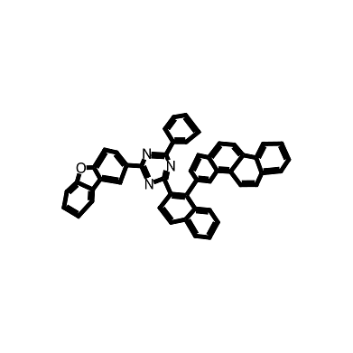 c1ccc(-c2nc(-c3ccc4oc5ccccc5c4c3)nc(-c3ccc4ccccc4c3-c3ccc4ccc5c6ccccc6ccc5c4c3)n2)cc1